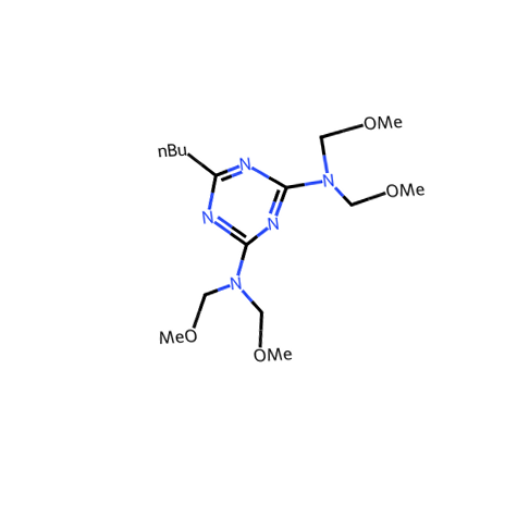 CCCCc1nc(N(COC)COC)nc(N(COC)COC)n1